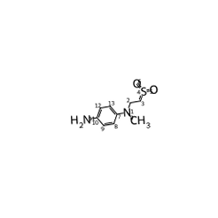 CN(CC=S(=O)=O)c1ccc(N)cc1